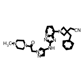 CN1CCN(C(=O)Cn2cc(Nc3nc4c(N5CC(CC#N)(Cc6ccccc6)C5)cccn4n3)cn2)CC1